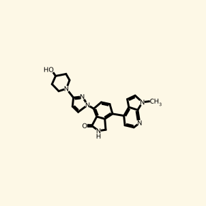 Cn1ccc2c(-c3ccc(-n4ccc(N5CCC(O)CC5)n4)c4c3CNC4=O)ccnc21